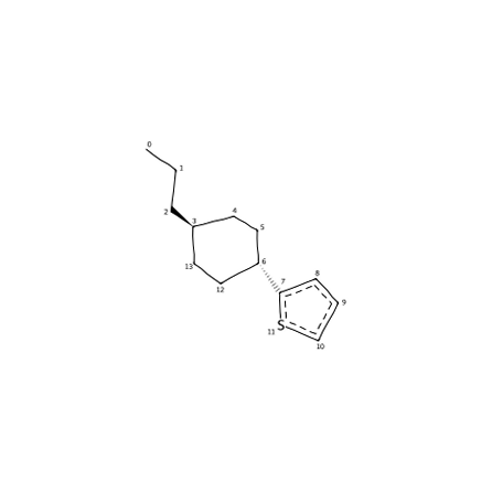 CCC[C@H]1CC[C@H](c2cccs2)CC1